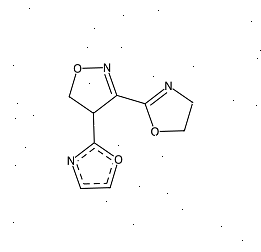 c1coc(C2CON=C2C2=NCCO2)n1